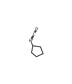 O=C=[N+]C1CCCC1